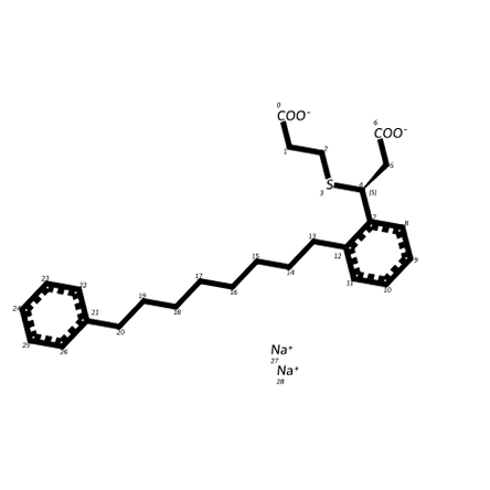 O=C([O-])CCS[C@@H](CC(=O)[O-])c1ccccc1CCCCCCCCc1ccccc1.[Na+].[Na+]